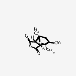 C[C@]12CC(O)[C@](C)(O1)[C@@H]1C(=O)OC(=O)[C@@H]12